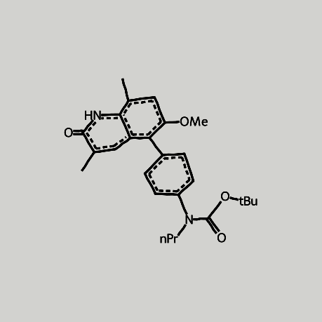 CCCN(C(=O)OC(C)(C)C)c1ccc(-c2c(OC)cc(C)c3[nH]c(=O)c(C)cc23)cc1